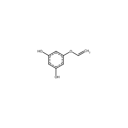 C=COc1cc(O)cc(O)c1